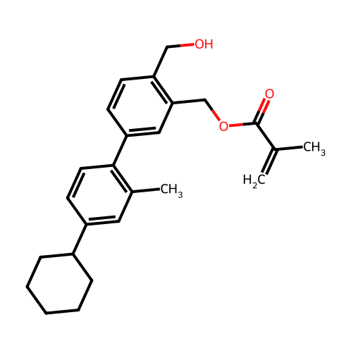 C=C(C)C(=O)OCc1cc(-c2ccc(C3CCCCC3)cc2C)ccc1CO